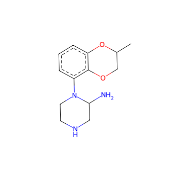 CC1COc2c(cccc2N2CCNCC2N)O1